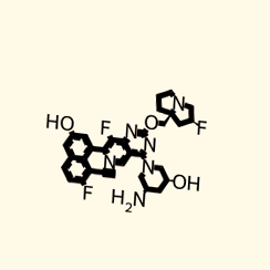 C#Cc1c(F)ccc2cc(O)cc(-c3ncc4c(N5C[C@H](N)C[C@@H](O)C5)nc(OC[C@@]56CCCN5C[C@H](F)C6)nc4c3F)c12